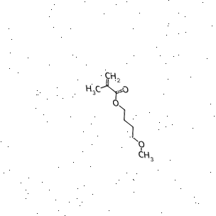 C=C(C)C(=O)OCCC[CH]OC